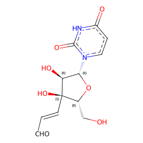 O=CC=C[C@@]1(O)[C@@H](CO)O[C@@H](n2ccc(=O)[nH]c2=O)[C@@H]1O